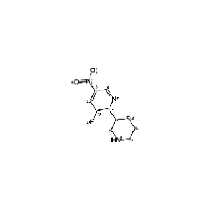 O=[N+]([O-])c1cnc(C2CNCCS2)c(F)c1